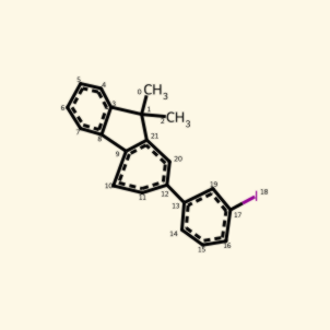 CC1(C)c2ccccc2-c2ccc(-c3cccc(I)c3)cc21